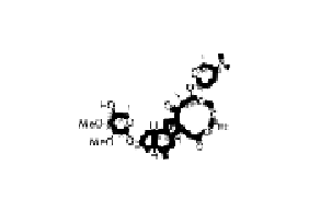 CC[C@H]1CCC[C@H](O[C@H]2CC[C@H](N(C)C)[C@@H](C)O2)[C@@H](C)C(=O)C2=C[C@@H]3[C@H](C=C(C)[C@H]4C[C@H](O[C@@H]5O[C@@H](C)[C@H](O)[C@@H](OC)[C@H]5OC)C[C@H]34)[C@@H]2CC(=O)O1